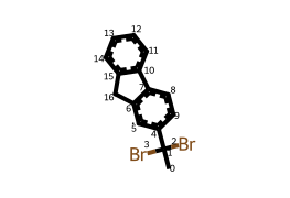 CC(Br)(Br)c1[c]c2c(cc1)-c1ccccc1C2